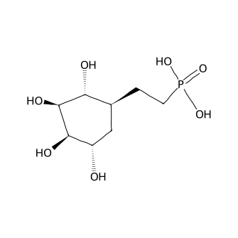 O=P(O)(O)CC[C@H]1C[C@H](O)[C@@H](O)[C@@H](O)[C@@H]1O